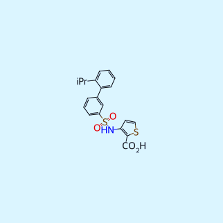 CC(C)c1ccccc1-c1cccc(S(=O)(=O)Nc2ccsc2C(=O)O)c1